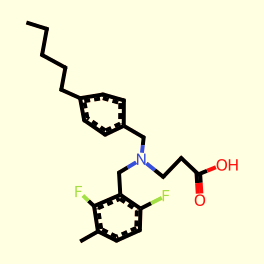 CCCCCc1ccc(CN(CCC(=O)O)Cc2c(F)ccc(C)c2F)cc1